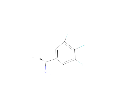 C[C@H](N)c1cc(F)c(F)c(F)c1